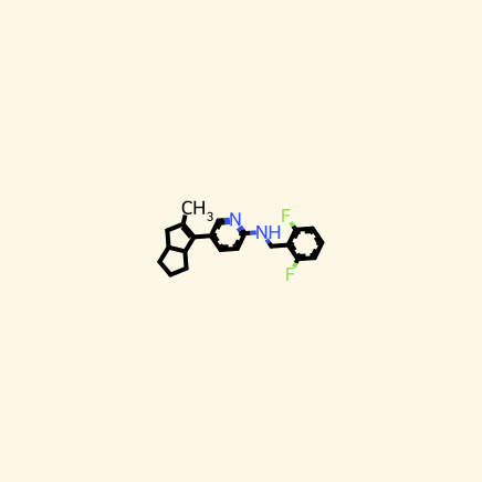 CC1=C(c2ccc(NCc3c(F)cccc3F)nc2)C2CCCC2C1